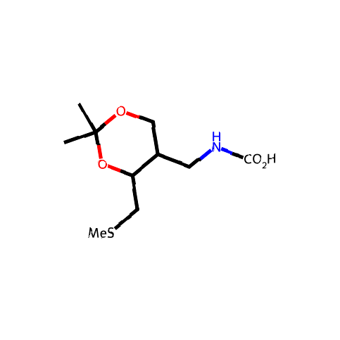 CSCC1OC(C)(C)OCC1CNC(=O)O